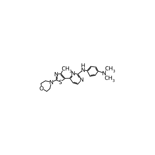 Cc1nc(N2CCOCC2)sc1-c1ccnc(Nc2ccc(N(C)C)cc2)n1